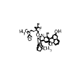 CN(CC[C@@]1(COc2nc(N3CC4CC[C@@](C)(C3)N4)c3cc(F)c(-c4cc(O)cc5cccc(Cl)c45)c(F)c3n2)CC1(F)F)C1COC1